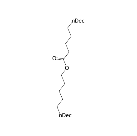 CCCCCCCCCCCCCCCOC(=O)CCCCCCCCCCCCCC